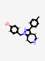 Cc1ccc(-c2nn(Cc3ccc(O)cc3)c3c2CC=NCC3)cc1